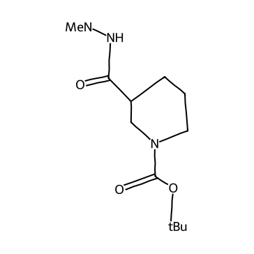 CNNC(=O)C1CCCN(C(=O)OC(C)(C)C)C1